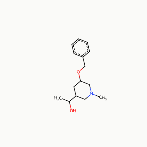 CC(O)C1CC(OCc2ccccc2)CN(C)C1